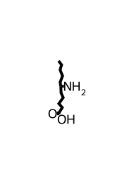 CCCCCC(N)CCCCC(=O)O